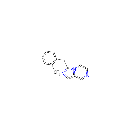 FC(F)(F)c1ccccc1Cc1ncc2cnccn12